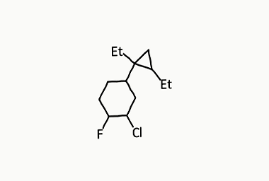 CCC1CC1(CC)C1CCC(F)C(Cl)C1